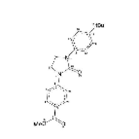 COC(=O)c1ccc(N2CCN(c3ccc(C(C)(C)C)cc3)C2=O)cc1